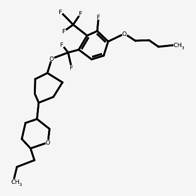 CCCCOc1ccc(C(F)(F)OC2CCC(C3CCC(CCC)OC3)CC2)c(C(F)(F)F)c1F